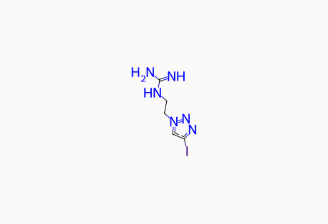 N=C(N)NCCn1cc(I)nn1